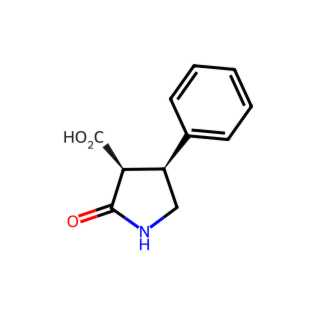 O=C(O)[C@@H]1C(=O)NC[C@@H]1c1ccccc1